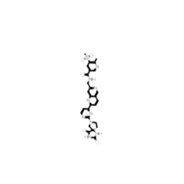 Cc1ncc(C(=O)NCc2cc3nc(-c4ccnc(N5CC[C@@]6(C5)NC(=O)NC6=O)n4)ccc3cn2)cc1S(C)(=O)=O